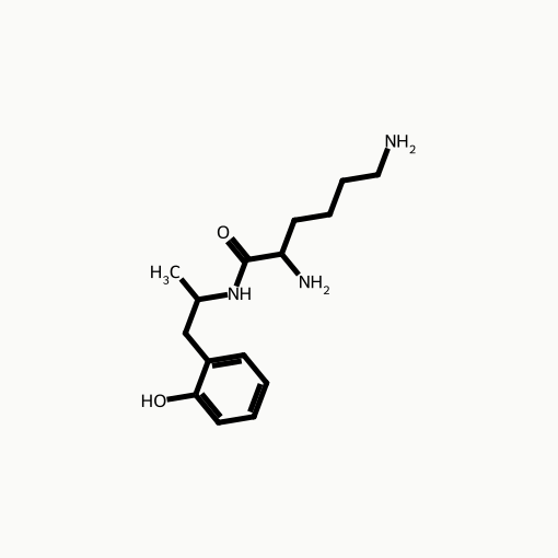 CC(Cc1ccccc1O)NC(=O)C(N)CCCCN